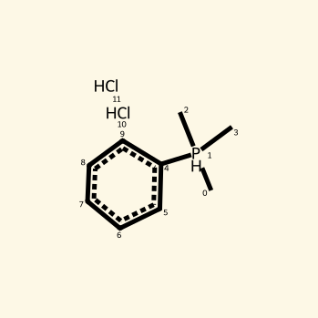 C[PH](C)(C)c1ccccc1.Cl.Cl